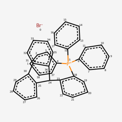 [Br-].c1ccc([P+](c2ccccc2)(c2ccccc2)c2ccccc2C2c3ccccc3-c3ccccc32)cc1